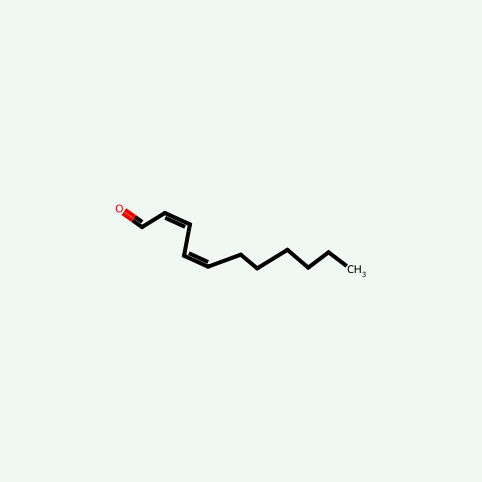 CCCCCC/C=C\C=C/C=O